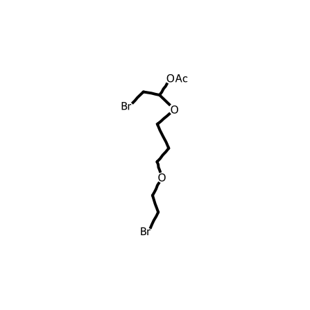 CC(=O)OC(CBr)OCCCOCCBr